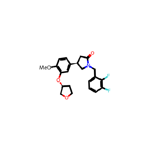 COc1ccc([C@H]2CC(=O)N(Cc3cccc(F)c3F)C2)cc1O[C@H]1CCOC1